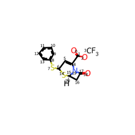 O=C(OC(F)(F)F)C1=CC(Sc2ccccc2)S[C@@H]2CC(=O)N12